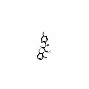 Cc1cccc(Cl)c1N(S)C(=O)Nc1ccc(Cl)cn1